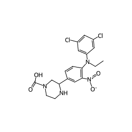 CCN(c1cc(Cl)cc(Cl)c1)c1ccc(C2CN(C(=O)O)CCN2)cc1[N+](=O)[O-]